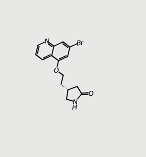 O=C1C[C@@H](CCOc2cc(Br)cc3ncccc23)CN1